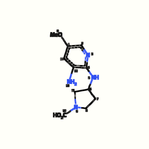 COc1cnc(NC2CCN(C(=O)O)C2)c(N)c1